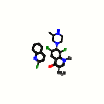 CCn1cc(C(=O)O)c(=O)c2cc(F)c(N3CCNC(C)C3)c(F)c21.Fc1ccc2ccccc2n1